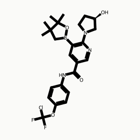 CC1(C)CB(c2cc(C(=O)Nc3ccc(OC(F)(F)Cl)cc3)cnc2N2CC[C@@H](O)C2)OC1(C)C